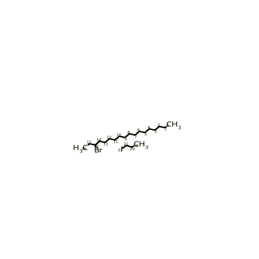 CCCCCCCCCCCCCCCC(Br)CC.CCCI